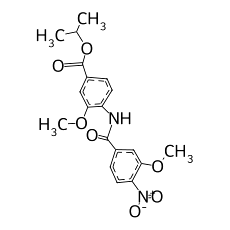 COc1cc(C(=O)OC(C)C)ccc1NC(=O)c1ccc([N+](=O)[O-])c(OC)c1